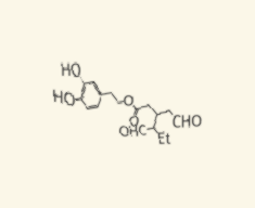 CCC(C=O)C(CC=O)CC(=O)OCCc1ccc(O)c(O)c1